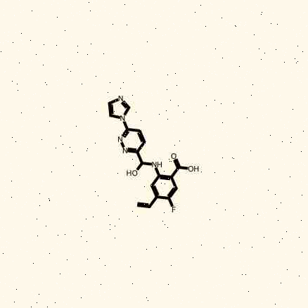 C=Cc1cc(NC(O)c2ccc(-n3ccnc3)nn2)c(C(=O)O)cc1F